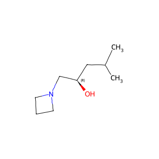 CC(C)C[C@@H](O)CN1CCC1